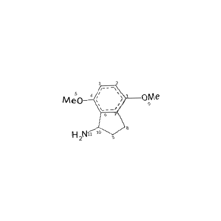 COc1ccc(OC)c2c1CCC2N